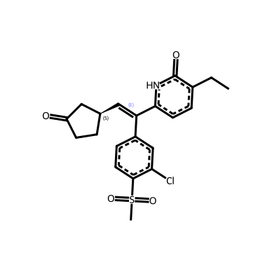 CCc1ccc(/C(=C/[C@H]2CCC(=O)C2)c2ccc(S(C)(=O)=O)c(Cl)c2)[nH]c1=O